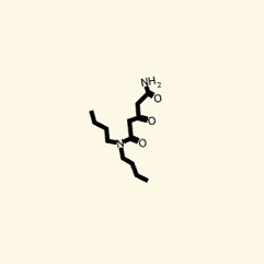 CCCCN(CCCC)C(=O)CC(=O)CC(N)=O